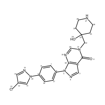 O=c1c2cnn(-c3ccc(-n4cc(Cl)cn4)cc3)c2ncn1CC1(O)CCNCC1